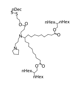 CCCCCCCCCCSSCCOC(=O)CCN(CCCN1CCCC1)C(CCCCCCCCC(=O)OCC(CCCCCC)CCCCCC)CCCCCCCCC(=O)OCC(CCCCCC)CCCCCC